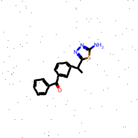 CC(c1cccc(C(=O)c2ccccc2)c1)c1nnc(N)s1